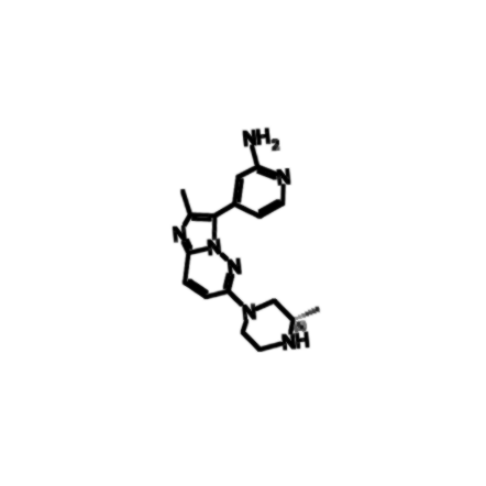 Cc1nc2ccc(N3CCN[C@@H](C)C3)nn2c1-c1ccnc(N)c1